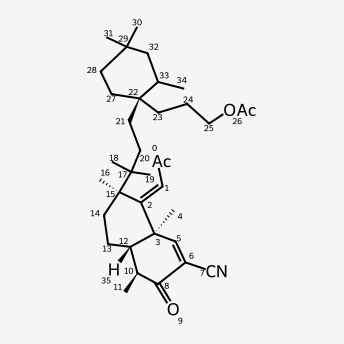 CC(=O)/C=C1/[C@@]2(C)C=C(C#N)C(=O)[C@@H](C)[C@@H]2CC[C@@]1(C)C(C)(C)CC[C@@]1(CCCOC(C)=O)CCC(C)(C)CC1C